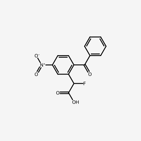 O=C(c1ccccc1)c1ccc([N+](=O)[O-])cc1C(F)C(=O)O